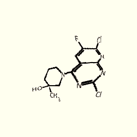 C[C@@]1(O)CCCN(c2nc(Cl)nc3nc(Cl)c(F)cc23)C1